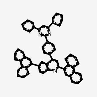 c1ccc(-c2cc(-c3ccccc3)nc(-c3ccc(-c4cc(-c5cc6ccccc6c6ccccc56)nc5ccc(-c6cc7ccccc7c7ccccc67)cc45)cc3)n2)cc1